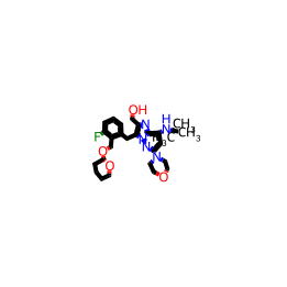 CC(C)(C)Nc1cc(N2CCOCC2)nn2c(Cc3cccc(F)c3COC3CCCCO3)c(CO)nc12